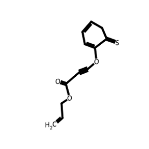 C=CCOC(=O)C#COC1=CC=CCC1=S